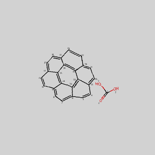 O=C(O)O.c1cc2ccc3ccc4ccc5ccc6ccc1c1c2c3c4c5c61